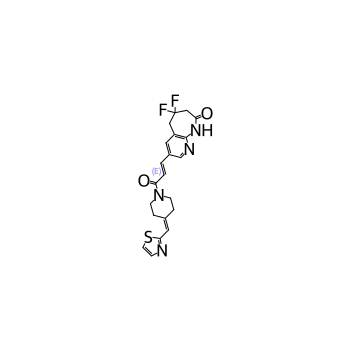 O=C1CC(F)(F)Cc2cc(/C=C/C(=O)N3CCC(=Cc4nccs4)CC3)cnc2N1